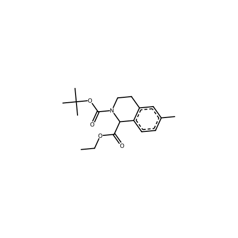 CCOC(=O)C1c2ccc(C)cc2CCN1C(=O)OC(C)(C)C